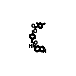 Cc1ccc(C(=O)OCc2ccc(CC(=O)Nc3ccc4cnccc4c3)cc2)c(C)c1